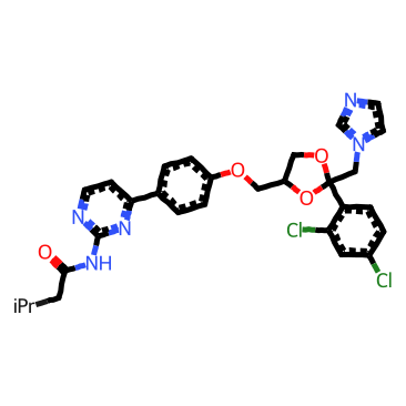 CC(C)CC(=O)Nc1nccc(-c2ccc(OCC3COC(Cn4ccnc4)(c4ccc(Cl)cc4Cl)O3)cc2)n1